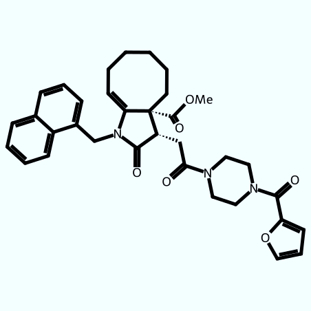 COC(=O)[C@@]12CCCCC/C=C\1N(Cc1cccc3ccccc13)C(=O)[C@H]2CC(=O)N1CCN(C(=O)c2ccco2)CC1